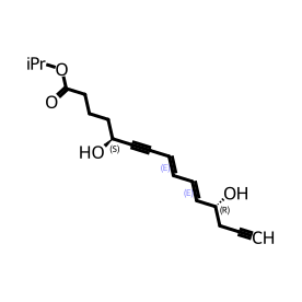 C#CC[C@@H](O)/C=C/C=C/C#C[C@@H](O)CCCC(=O)OC(C)C